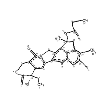 CC[C@@]1(O)C(=O)OCc2c1cc1n(c2=O)Cc2c-1nc1cc(F)c(C)c3c1c2C(C)(OC(=O)CO)C3